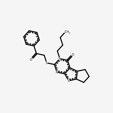 CCCCn1c(SCC(=O)c2ccccc2)nc2sc3c(c2c1=O)CCC3